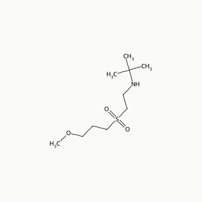 COCCCS(=O)(=O)CCNC(C)(C)C